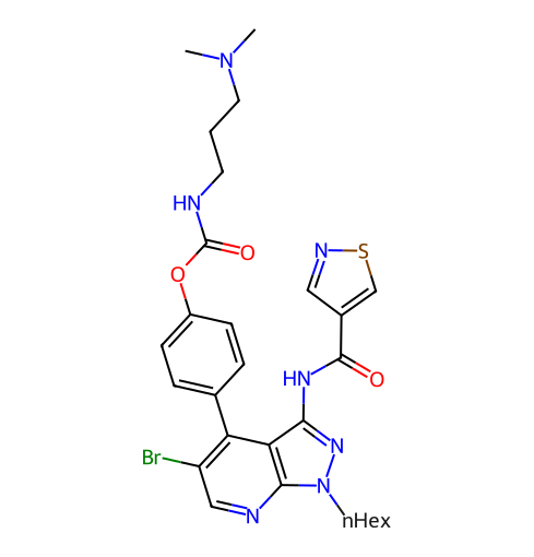 CCCCCCn1nc(NC(=O)c2cnsc2)c2c(-c3ccc(OC(=O)NCCCN(C)C)cc3)c(Br)cnc21